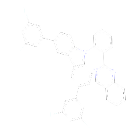 Fc1cc(F)cc(-c2ccc3c(c2)c2cc(-c4cc(F)cc(F)c4)ccc2n3-c2ccccc2-c2ncc3ccccc3n2)c1